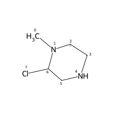 CN1[CH]CNCC1Cl